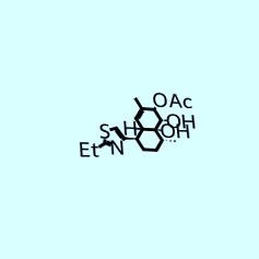 CCc1nc([C@@H]2CC[C@@H](C)[C@]3(O)[C@@H](O)[C@H](OC(C)=O)C(C)=C[C@@H]23)cs1